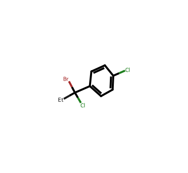 [CH2]CC(Cl)(Br)c1ccc(Cl)cc1